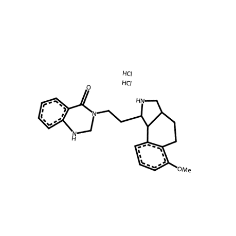 COc1cccc2c1CCC1CNC(CCN3CNc4ccccc4C3=O)C21.Cl.Cl